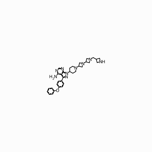 Nc1ncnc2c1c(-c1ccc(Oc3ccccc3)cc1)nn2C1CCN(C2CN(C3CN(CC4CNC4)C3)C2)CC1